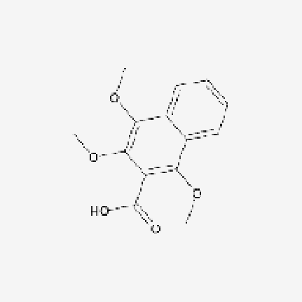 COc1c(C(=O)O)c(OC)c2ccccc2c1OC